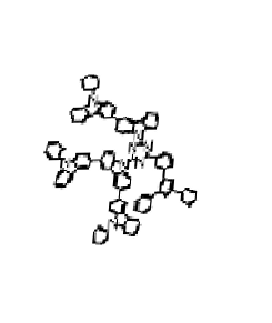 c1ccc(-c2cc(-c3ccccc3)cc(-c3cccc(-c4nc(-n5c6ccccc6c6cc(-c7ccc8c(c7)c7ccccc7n8-c7ccccc7)ccc65)nc(-n5c6ccc(-c7ccc8c(c7)c7ccccc7n8-c7ccccc7)cc6c6cc(-c7ccc8c(c7)c7ccccc7n8-c7ccccc7)ccc65)n4)c3)c2)cc1